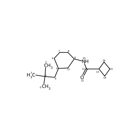 CC(C)(C)CC1CCCC(NC(=O)C2CCC2)C1